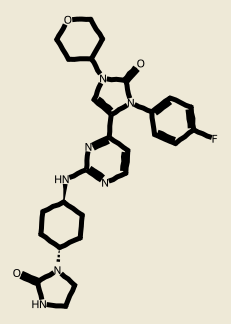 O=C1NCCN1[C@H]1CC[C@H](Nc2nccc(-c3cn(C4CCOCC4)c(=O)n3-c3ccc(F)cc3)n2)CC1